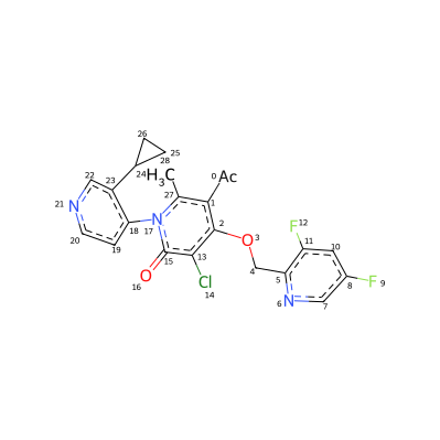 CC(=O)c1c(OCc2ncc(F)cc2F)c(Cl)c(=O)n(-c2ccncc2C2CC2)c1C